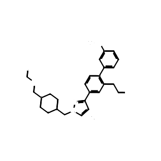 COc1cccc(-c2ccc(-c3ccn(CC4CCC(COCC(=O)[O-])CC4)n3)cc2CCO)c1.[Na+]